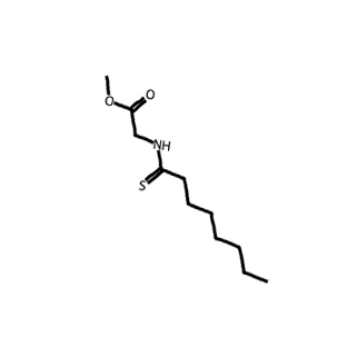 CCCCCCCC(=S)NCC(=O)OC